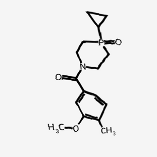 COc1cc(C(=O)N2CCP(=O)(C3CC3)CC2)ccc1C